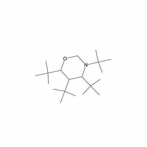 CC(C)(C)C1OCN(C(C)(C)C)C(C(C)(C)C)C1C(C)(C)C